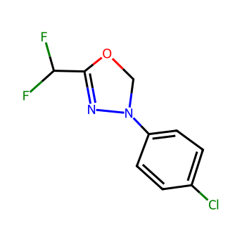 FC(F)C1=NN(c2ccc(Cl)cc2)CO1